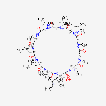 C/C=C/C[C@@H](C)[C@@H](O)[C@H]1C(=O)N[C@@H](CC)C(=O)N(C)CC(=O)N(C)CC(=O)N[C@@H](CC(C)C)C(=O)N(C)[C@@H](CC(C)C)C(=O)N[C@@H](CC(C)C)C(=O)N[C@H](C)C(=O)N(C)[C@@H](CC(C)C)C(=O)N(C)[C@H](CC(C)C)C(=O)N(C)[C@@H](C(C)C)C(=O)N1C